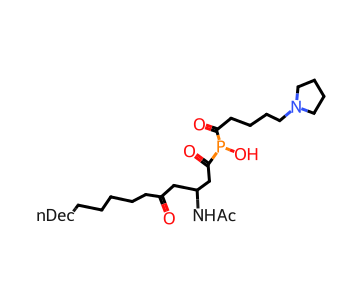 CCCCCCCCCCCCCCCC(=O)CC(CC(=O)P(O)C(=O)CCCCN1CCCC1)NC(C)=O